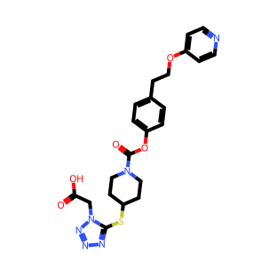 O=C(O)Cn1nnnc1SC1CCN(C(=O)Oc2ccc(CCOc3ccncc3)cc2)CC1